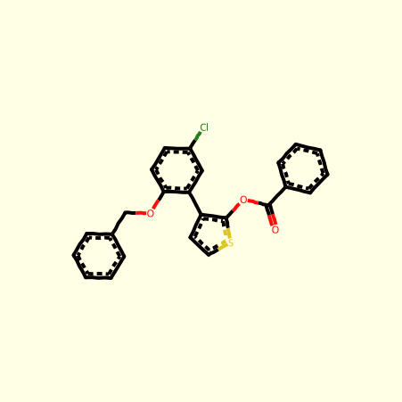 O=C(Oc1sccc1-c1cc(Cl)ccc1OCc1ccccc1)c1ccccc1